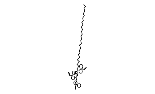 C=CC(=O)OCC(COC(CCCCCCCCCCCCCCCCCCCCCCCCCCCCC)OC(=O)C=C)OC(=O)C=C